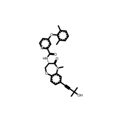 Cc1cccc(C)c1Oc1ccnc(C(=O)N[C@H]2COc3ccc(C#CC(C)(C)O)cc3N(C)C2=O)c1